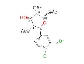 CS[C@H]1O[C@@H](c2ccc(Cl)c(CBr)c2)[C@H](OC(C)=O)[C@@H](O)[C@@H]1OC(C)=O